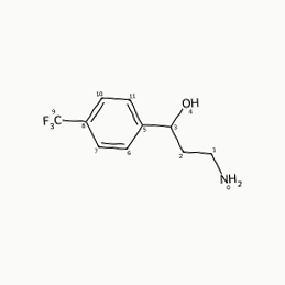 NCCC(O)c1ccc(C(F)(F)F)cc1